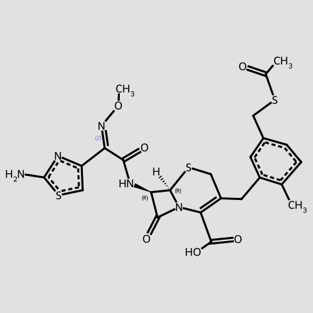 CO/N=C(\C(=O)N[C@@H]1C(=O)N2C(C(=O)O)=C(Cc3cc(CSC(C)=O)ccc3C)CS[C@H]12)c1csc(N)n1